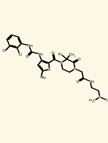 CCC1(C)C(=O)N(CC(=O)NCCN(C)C)CCN1C(=O)c1sc(C(C)(C)C)cc1NC(=O)Nc1cccc(Cl)c1Cl